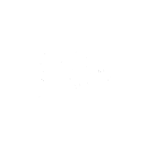 Cc1cc(C(C)C2CCCC2C(=O)NO)c2ccccc2n1